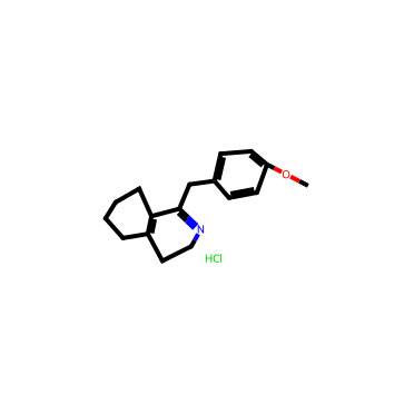 COc1ccc(CC2=NCCC3=C2CCCC3)cc1.Cl